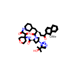 COc1c(C(=O)CC[C@H](CC2CCCCC2)C(=O)N2C[C@@H](n3nncc3C(C)(C)O)C[C@H]2C(=O)NC2(C(=O)C(N)=O)CCOCC2)ccc2ccccc12